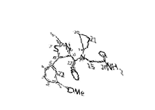 COc1cccc(-c2sc(C)nc2C(=O)N(CC(N)=O)C2CC2)c1